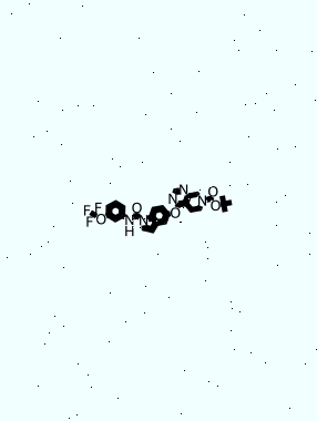 CC(C)(C)OC(=O)N1CCc2c(ncnc2Oc2ccc3c(ccn3C(=O)Nc3cccc(OC(F)(F)F)c3)c2)C1